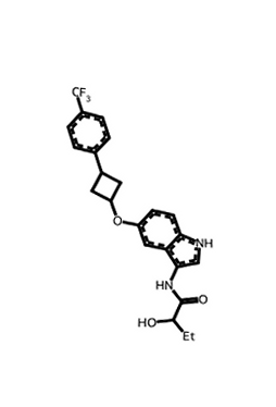 CCC(O)C(=O)Nc1c[nH]c2ccc(OC3CC(c4ccc(C(F)(F)F)cc4)C3)cc12